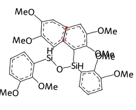 COc1cccc([SiH](O[SiH](c2cccc(OC)c2OC)c2cccc(OC)c2OC)c2cccc(OC)c2OC)c1OC